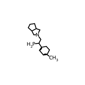 CC1=CC=C(C(P)CN2CC3CCCC3C2)CC1